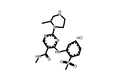 CNC(=O)c1cnc(N2CCNCC2C)nc1Nc1ccccc1S(C)(=O)=O.Cl